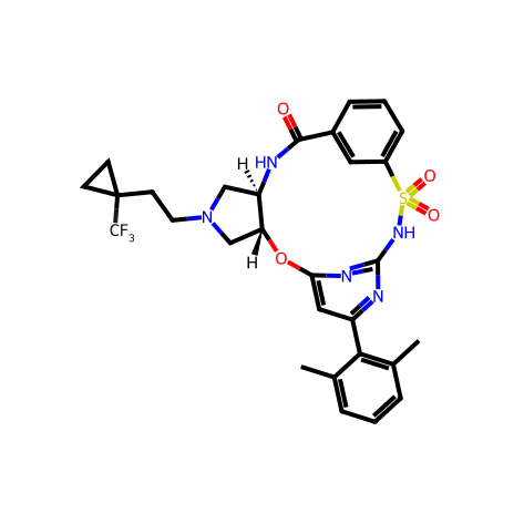 Cc1cccc(C)c1-c1cc2nc(n1)NS(=O)(=O)c1cccc(c1)C(=O)N[C@@H]1CN(CCC3(C(F)(F)F)CC3)C[C@H]1O2